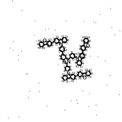 c1cc(-c2nc(-c3ccc(-n4c5ccccc5c5ccc(-c6ccc7c(c6)oc6ccccc67)cc54)cc3)nc3ccc(-c4ccc(-n5c6ccccc6c6ccc(-c7ccc8c(c7)oc7ccccc78)cc65)cc4)cc23)cc(-n2c3ccccc3c3ccc(-c4ccc5c(c4)oc4ccccc45)cc32)c1